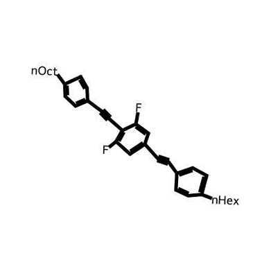 CCCCCCCCc1ccc(C#Cc2c(F)cc(C#Cc3ccc(CCCCCC)cc3)cc2F)cc1